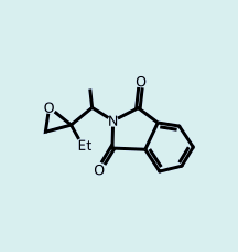 CCC1(C(C)N2C(=O)c3ccccc3C2=O)CO1